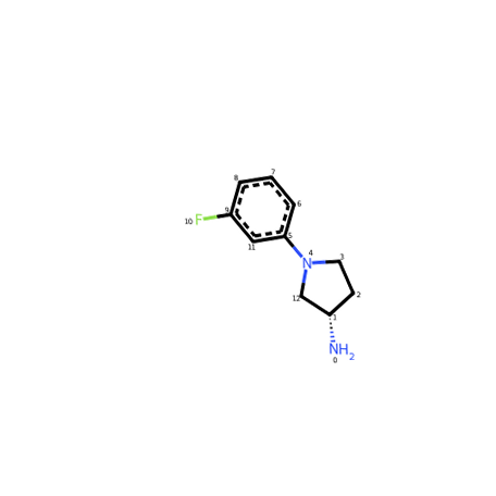 N[C@H]1CCN(c2cccc(F)c2)C1